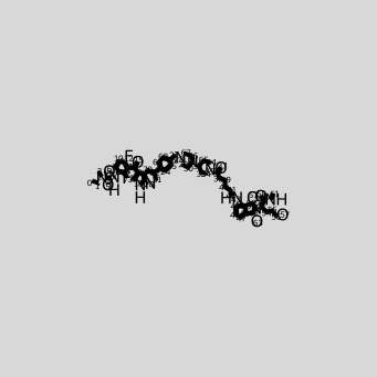 CCN(C)S(=O)(=O)Nc1ccc(F)c(C(=O)c2c[nH]c3ncc(-c4ccc(CN5CCN(C6CCN(C(=O)CCCCCNc7cccc8c7C(=O)N(C(CCC=O)C(=O)NC)C8=O)CC6)CC5)cc4)cc23)c1F